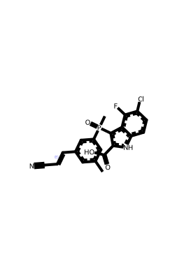 Cc1cc(/C=C/C#N)cc(P(C)(=O)c2c(C(=O)O)[nH]c3ccc(Cl)c(F)c23)c1